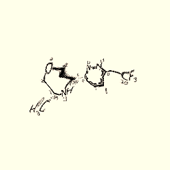 C[C@@H]1COC[C@H](c2ccc(C(F)(F)F)nn2)N1